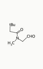 CN(CC=O)C(=O)CC(C)(C)C